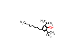 C=CCCCCCCc1cc(C(C)C)c(O)c(C(C)C)c1